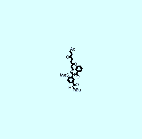 CCCCNC(=O)c1ccc(SC)c(N(OCCC(=O)CCC(=O)CCC(C)=O)C(=O)c2ccccc2)c1